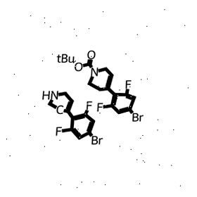 CC(C)(C)OC(=O)N1CC=C(c2c(F)cc(Br)cc2F)CC1.Fc1cc(Br)cc(F)c1C1=CCNCC1